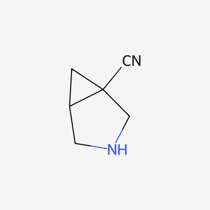 N#CC12CNCC1C2